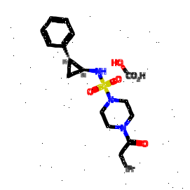 CC(C)CC(=O)N1CCN(S(=O)(=O)N[C@H]2C[C@@H]2c2ccccc2)CC1.O=C(O)O